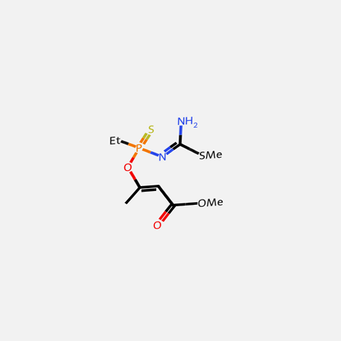 CCP(=S)(N=C(N)SC)OC(C)=CC(=O)OC